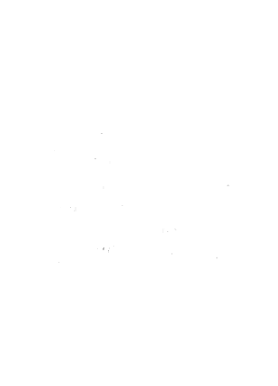 CCCCCCCCCCCCC/C=C/[C@@H](O)[C@H](CO[C@@H]1OC(CO)[C@@H](O[C@@H]2OC(CO)[C@H](O[C@@H]3OC(CO)[C@H](O)[C@H](O[C@@H]4OC(CO)[C@H](O)[C@H](O[C@@H]5OC(CO)[C@@H](O[C@@H]6OC(CO)[C@H](O)[C@H](O)C6O)[C@H](O)C5NC(C)=O)C4O)C3NC(C)=O)[C@H](O[C@]3(C(=O)O)CC(O)[C@@H](NC(C)=O)C([C@H](O)[C@H](O)CO)O3)C2O)[C@H](O)C1O)NC(=O)CCCCCCCCCCCCCCCCC